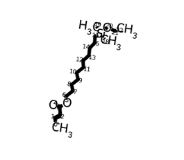 CC=CC(=O)OCCCCCCCCCCC[Si](C)(C)OCC